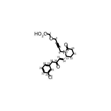 O=C(O)COCC#CCN1C(=O)CCC[C@@H]1C=CC(=O)Cc1cccc(Cl)c1